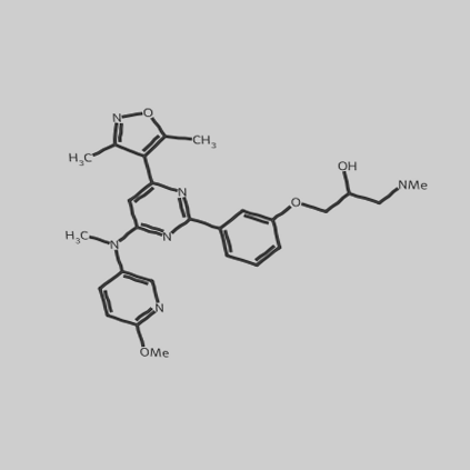 CNCC(O)COc1cccc(-c2nc(-c3c(C)noc3C)cc(N(C)c3ccc(OC)nc3)n2)c1